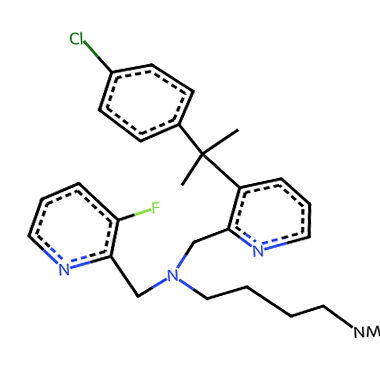 CNCCCCN(Cc1ncccc1F)Cc1ncccc1C(C)(C)c1ccc(Cl)cc1